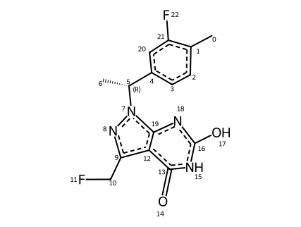 Cc1ccc([C@@H](C)n2nc(CF)c3c(=O)[nH]c(O)nc32)cc1F